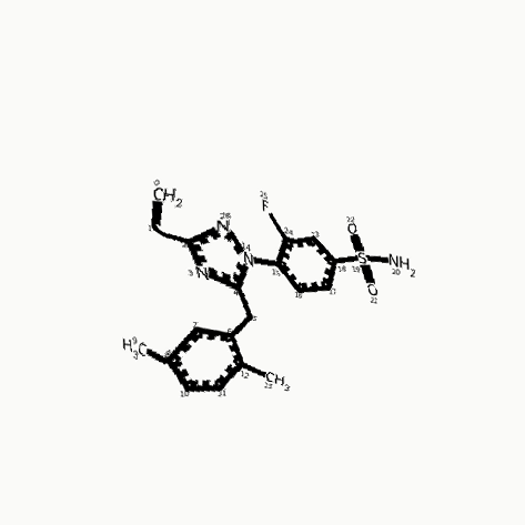 C=Cc1nc(Cc2cc(C)ccc2C)n(-c2ccc(S(N)(=O)=O)cc2F)n1